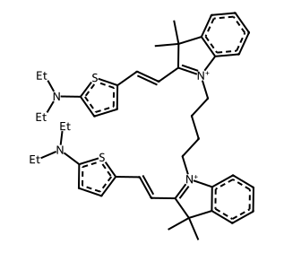 CCN(CC)c1ccc(/C=C/C2=[N+](CCCC[N+]3=C(/C=C/c4ccc(N(CC)CC)s4)C(C)(C)c4ccccc43)c3ccccc3C2(C)C)s1